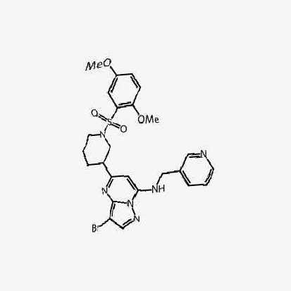 COc1ccc(OC)c(S(=O)(=O)N2CCCC(c3cc(NCc4cccnc4)n4ncc(Br)c4n3)C2)c1